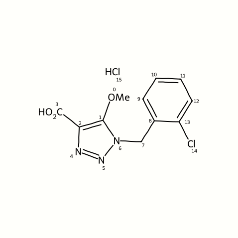 COc1c(C(=O)O)nnn1Cc1ccccc1Cl.Cl